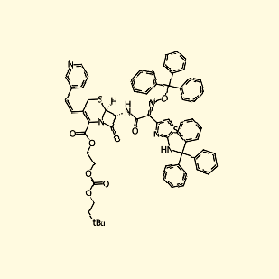 CC(C)(C)CCOC(=O)OCCOC(=O)C1=C(/C=C\c2cccnc2)CS[C@H]2[C@H](NC(=O)C(=NOC(c3ccccc3)(c3ccccc3)c3ccccc3)c3csc(NC(c4ccccc4)(c4ccccc4)c4ccccc4)n3)C(=O)N12